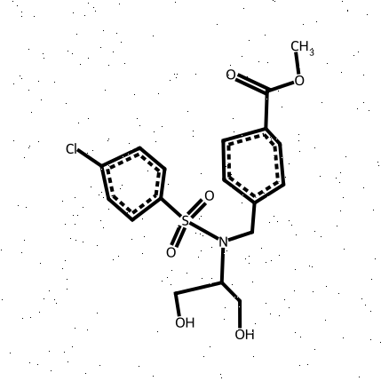 COC(=O)c1ccc(CN(C(CO)CO)S(=O)(=O)c2ccc(Cl)cc2)cc1